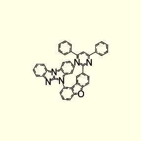 c1ccc(-c2cc(-c3ccccc3)nc(-c3ccc4oc5cccc(-n6c7ccccc7n7c8ccccc8nc67)c5c4c3)n2)cc1